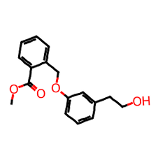 COC(=O)c1ccccc1COc1cccc(CCO)c1